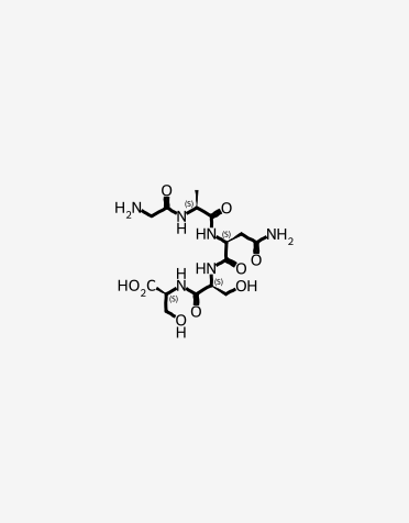 C[C@H](NC(=O)CN)C(=O)N[C@@H](CC(N)=O)C(=O)N[C@@H](CO)C(=O)N[C@@H](CO)C(=O)O